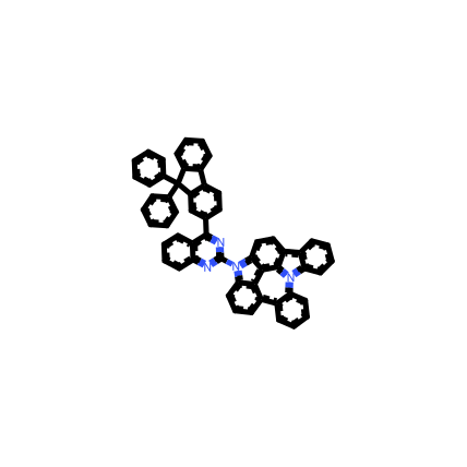 c1ccc(C2(c3ccccc3)c3ccccc3-c3ccc(-c4nc(-n5c6cccc7c8ccccc8n8c9ccccc9c9ccc5c(c76)c98)nc5ccccc45)cc32)cc1